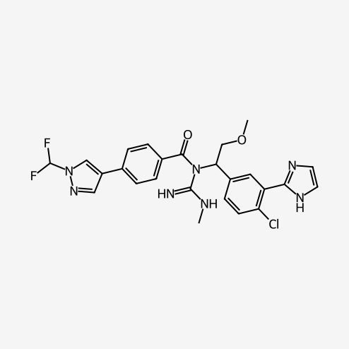 CNC(=N)N(C(=O)c1ccc(-c2cnn(C(F)F)c2)cc1)C(COC)c1ccc(Cl)c(-c2ncc[nH]2)c1